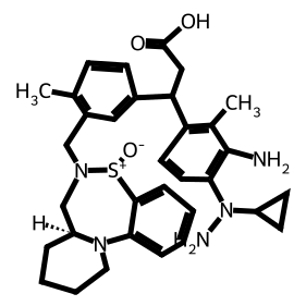 Cc1ccc(C(CC(=O)O)c2ccc(N(N)C3CC3)c(N)c2C)cc1CN1C[C@@H]2CCCCN2c2ccccc2[S+]1[O-]